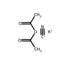 CC(=O)OC(C)=O.[C-]#N.[K+]